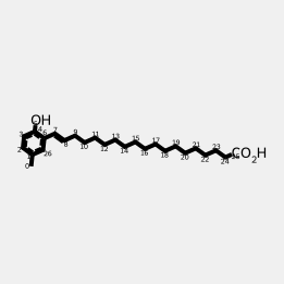 Cc1ccc(O)c(/C=C/CCCCCCCCCCCCCCCCC(=O)O)c1